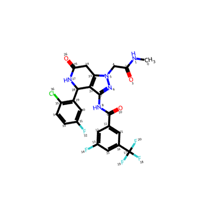 CNC(=O)Cn1nc(NC(=O)c2cc(F)cc(C(F)(F)F)c2)c2c1CC(=O)NC2c1cc(F)ccc1Cl